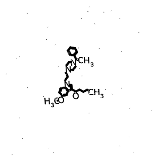 CCCCC(=O)c1cn(CCCN2CCN(C(C)c3ccccc3)CC2)c2ccc(OC)cc12